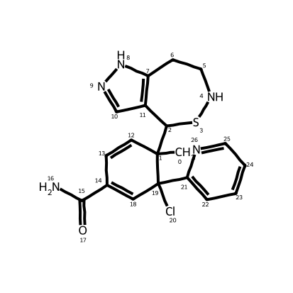 CC1(C2SNCCc3[nH]ncc32)C=CC(C(N)=O)=CC1(Cl)c1ccccn1